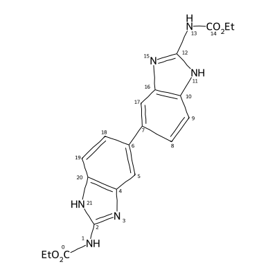 CCOC(=O)Nc1nc2cc(-c3ccc4[nH]c(NC(=O)OCC)nc4c3)ccc2[nH]1